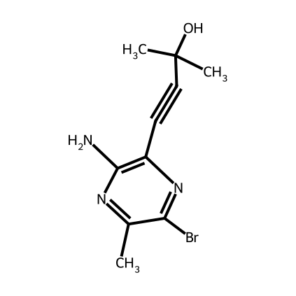 Cc1nc(N)c(C#CC(C)(C)O)nc1Br